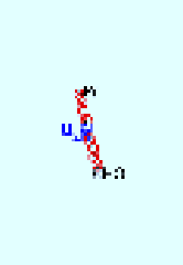 CCCOCCOCCOCCOCCN(N)/C=C(\N)COCCOCCOCCOCCC=O